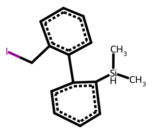 C[SiH](C)c1ccccc1-c1ccccc1CI